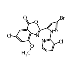 COc1cc(Cl)cc2c(=O)oc(-c3cc(Br)nn3-c3ncccc3Cl)nc12